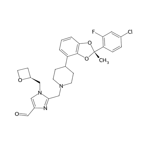 C[C@]1(c2ccc(Cl)cc2F)Oc2cccc(C3CCN(Cc4nc(C=O)cn4C[C@@H]4CCO4)CC3)c2O1